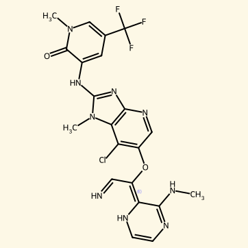 CNC1=NC=CN/C1=C(\C=N)Oc1cnc2nc(Nc3cc(C(F)(F)F)cn(C)c3=O)n(C)c2c1Cl